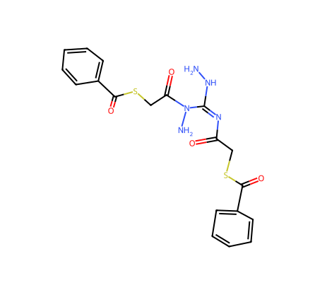 NNC(=NC(=O)CSC(=O)c1ccccc1)N(N)C(=O)CSC(=O)c1ccccc1